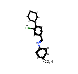 O=C(O)c1ccc(/N=C/c2ccc(C3CCCCC3)c(Cl)c2)cc1